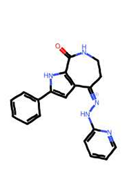 O=C1NCC/C(=N/Nc2ccccn2)c2cc(-c3ccccc3)[nH]c21